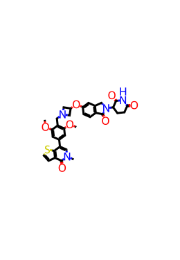 COc1cc(-c2cn(C)c(=O)c3ccsc23)cc(OC)c1CN1CC(Oc2ccc3c(c2)CN(C2CCC(=O)NC2=O)C3=O)C1